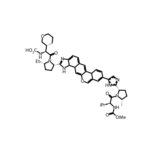 CC[C@H]1CC[C@@H](C2=NC3=CC=C4C=C5C(=CC4C3N2)OC=C2C=C(c3cnc([C@@H]4CC[C@H](C)N4C(=O)[C@@H](NC(=O)OC)C(C)C)[nH]3)C=CC25)N1C(=O)[C@@H](NC(=O)O)[C@H]1CCCOC1